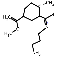 C=C(OC)C1CC[C@H](C)C(/C(I)=N\CCCN)C1